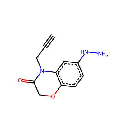 C#CCN1C(=O)COc2ccc(NN)cc21